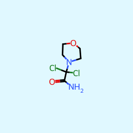 NC(=O)C(Cl)(Cl)N1CCOCC1